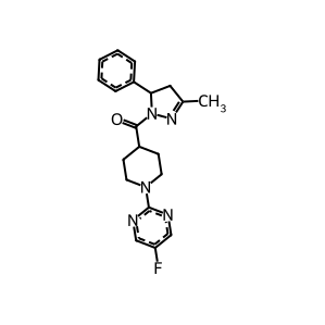 CC1=NN(C(=O)C2CCN(c3ncc(F)cn3)CC2)C(c2ccccc2)C1